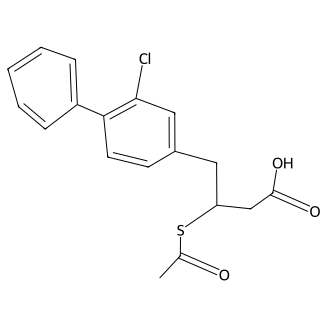 CC(=O)SC(CC(=O)O)Cc1ccc(-c2ccccc2)c(Cl)c1